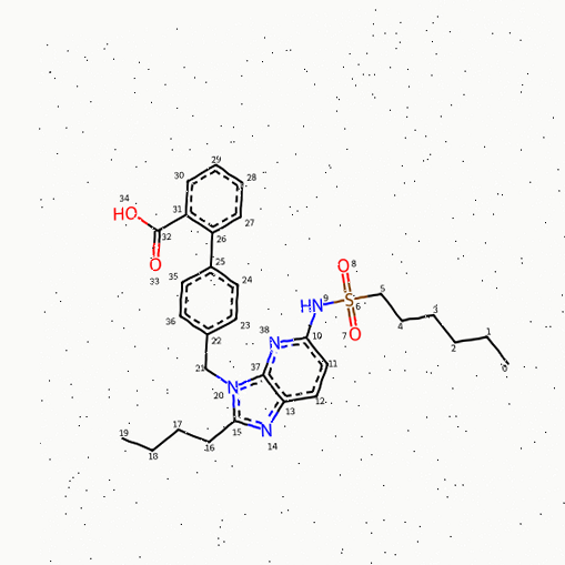 CCCCCCS(=O)(=O)Nc1ccc2nc(CCCC)n(Cc3ccc(-c4ccccc4C(=O)O)cc3)c2n1